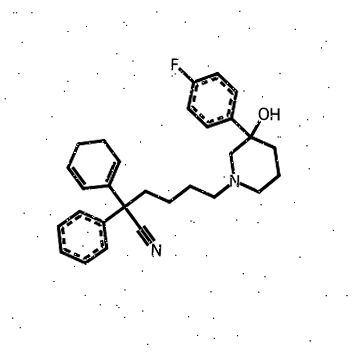 N#CC(CCCCN1CCCC(O)(c2ccc(F)cc2)C1)(C1=CCCC=C1)c1ccccc1